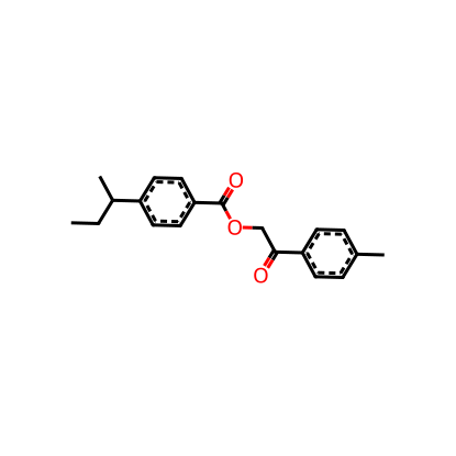 CCC(C)c1ccc(C(=O)OCC(=O)c2ccc(C)cc2)cc1